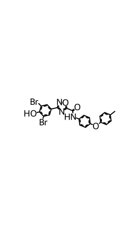 Cc1ccc(Oc2ccc(NC(=O)c3nc(-c4cc(Br)c(O)c(Br)c4)no3)cc2)cc1